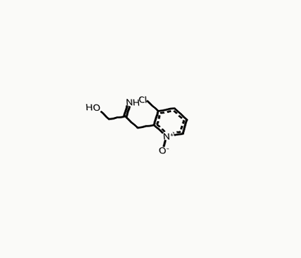 N=C(CO)Cc1c(Cl)ccc[n+]1[O-]